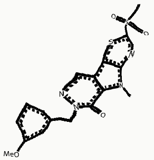 COc1cccc(Cn2ncc3c4sc(S(C)(=O)=O)nc4n(C)c3c2=O)c1